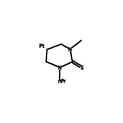 CCCN1CCCN(C)C1=S.[Pt]